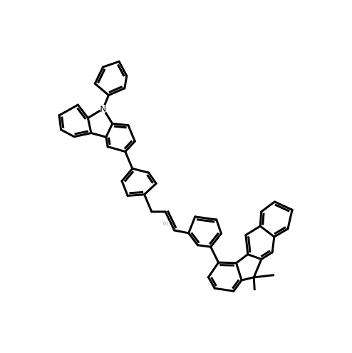 CC1(C)c2cc3ccccc3cc2-c2c(-c3cccc(/C=C/Cc4ccc(-c5ccc6c(c5)c5ccccc5n6-c5ccccc5)cc4)c3)cccc21